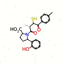 Cc1ccc(C(=O)C(S)[C@@H](C)C(=O)N2C(C(=O)O)CCC2c2ccccc2O)cc1